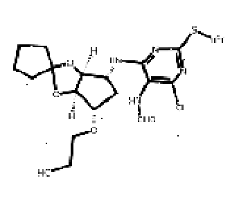 CCCSc1nc(Cl)c(NC=O)c(N[C@@H]2C[C@H](OCCO)[C@H]3OC4(CCCC4)O[C@H]32)n1